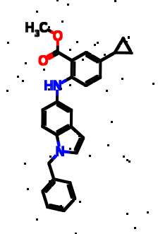 COC(=O)c1cc(C2CC2)ccc1Nc1ccc2c(ccn2Cc2ccccc2)c1